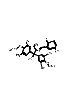 CCCCCCCCOc1c(C(C)(C)C)cc(C(O)(c2cc(C(C)(C)C)c(OCCCCCCCC)c(C(C)(C)C)c2)C(CC(C)C)N=Cc2cc(C#N)ccc2O)cc1C(C)(C)C